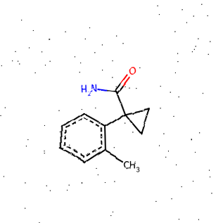 Cc1ccccc1C1(C(N)=O)CC1